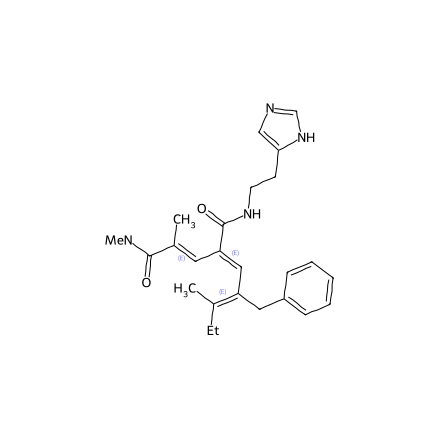 CC/C(C)=C(/C=C(\C=C(/C)C(=O)NC)C(=O)NCCc1cnc[nH]1)Cc1ccccc1